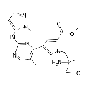 COC(=O)c1cc(-c2nc(Nc3ccnn3C)ncc2C)cn1CC1(N)COC1